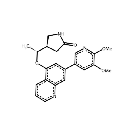 COc1cc(-c2cc(O[C@H](C)[C@H]3CNC(=O)C3)c3cccnc3c2)cnc1OC